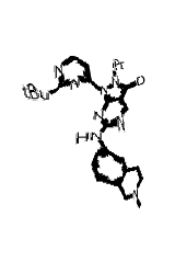 CC(C)n1c(=O)c2cnc(Nc3ccc4c(c3)CCN(C)C4)nc2n1-c1ccnc(C(C)(C)C)n1